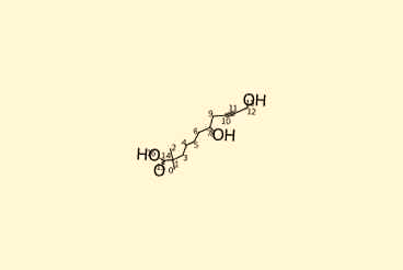 CC(C)(CCCC[C@H](O)CC#CCO)C(=O)O